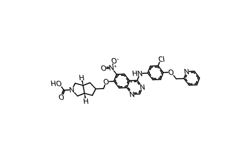 O=C(O)N1C[C@H]2CC(COc3cc4ncnc(Nc5ccc(OCc6ccccn6)c(Cl)c5)c4cc3[N+](=O)[O-])C[C@H]2C1